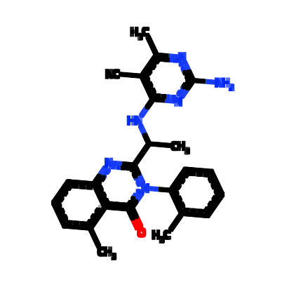 Cc1ccccc1-n1c(C(C)Nc2nc(N)nc(C)c2C#N)nc2cccc(C)c2c1=O